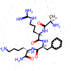 C[C@H](N)C(=O)N[C@H](CCCNC(=N)N)C(=O)N[C@@H](Cc1ccccc1)C(=O)N[C@@H](CCCCN)C(N)=O